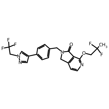 CC(F)(F)COc1nccc2c1C(=O)N(Cc1ccc(-c3cnn(CC(F)(F)F)c3)cc1)C2